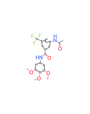 COc1cc(NC(=O)c2cc(NC(C)=O)cc(C(F)(F)F)c2)cc(OC)c1OC